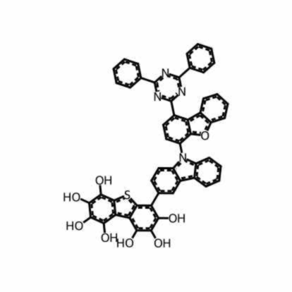 Oc1c(O)c(O)c2c(sc3c(-c4ccc5c(c4)c4ccccc4n5-c4ccc(-c5nc(-c6ccccc6)nc(-c6ccccc6)n5)c5c4oc4ccccc45)c(O)c(O)c(O)c32)c1O